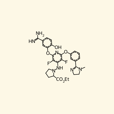 CCOC(=O)C1CCCN1Nc1c(F)c(Oc2cccc(C3=NCCN3C)c2)nc(Oc2cc(C(=N)N)ccc2O)c1F